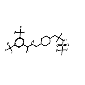 CC(C)(CN1CCC(CNC(=O)c2cc(C(F)(F)F)cc(C(F)(F)F)c2)CC1)NS(=O)(=O)C(F)(F)F